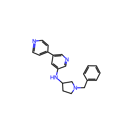 c1ccc(CN2CCC(Nc3cncc(-c4ccncc4)c3)C2)cc1